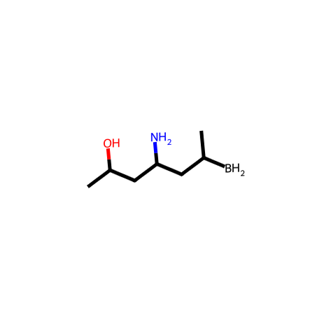 BC(C)CC(N)CC(C)O